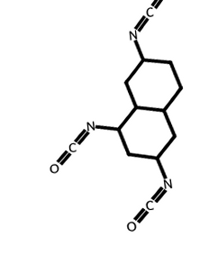 O=C=NC1CC2CCC(N=C=O)CC2C(N=C=O)C1